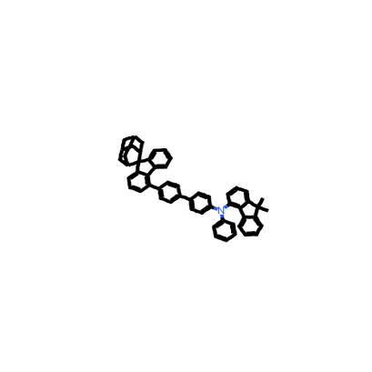 CC1(C)c2ccccc2-c2c(N(c3ccccc3)c3ccc(-c4ccc(-c5cccc6c5-c5ccccc5C65C6CC7CC(C6)CC5C7)cc4)cc3)cccc21